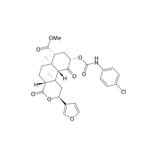 COC(=O)[C@@H]1C[C@H](OC(=O)Nc2ccc(Cl)cc2)C(=O)[C@H]2[C@@]1(C)CC[C@H]1C(=O)O[C@H](c3ccoc3)C[C@]21C